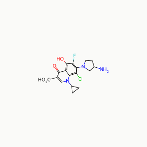 NC1CCN(c2c(F)c(O)c3c(=O)c(C(=O)O)cn(C4CC4)c3c2Cl)C1